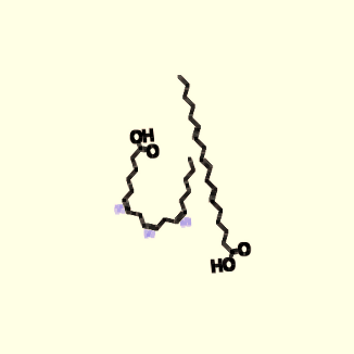 CCCCC/C=C\C/C=C\C/C=C\CCCCC(=O)O.CCCCCC=CCC=CCC=CCCCCC(=O)O